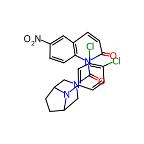 O=C(N1CC2CCC(C1)N2c1ccc(Cl)c(Cl)c1)n1c(=O)ccc2cc([N+](=O)[O-])ccc21